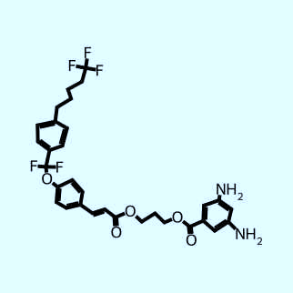 Nc1cc(N)cc(C(=O)OCCCOC(=O)C=Cc2ccc(OC(F)(F)c3ccc(CCCCC(F)(F)F)cc3)cc2)c1